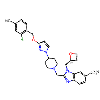 N#Cc1ccc(COc2ccn(C3CCN(Cc4nc5ccc(C(=O)O)cc5n4C[C@@H]4CCO4)CC3)n2)c(F)c1